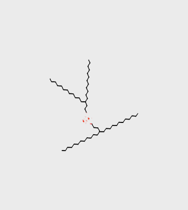 CCCCCCCCCCCCC(CCCCCCCCCCCC)CCCOS(=O)(=O)OCCCC(CCCCCCCCCCCC)CCCCCCCCCCCC